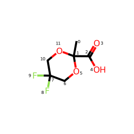 CC1(C(=O)O)OCC(F)(F)CO1